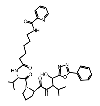 CC(C)C(NC(=O)[C@H]1CCCN1C(=O)[C@@H](NC(=O)CCCCCNC(=O)c1ccccn1)C(C)C)C(O)c1nnc(-c2ccccc2)o1